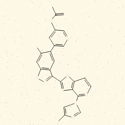 CCC(=O)Nc1cncc(-c2cc3c(-c4nc5c(-n6cnc(C)c6)nccc5[nH]4)n[nH]c3cc2F)c1